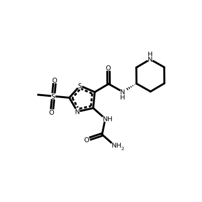 CS(=O)(=O)c1nc(NC(N)=O)c(C(=O)N[C@H]2CCCNC2)s1